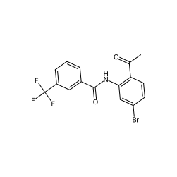 CC(=O)c1ccc(Br)cc1NC(=O)c1cccc(C(F)(F)F)c1